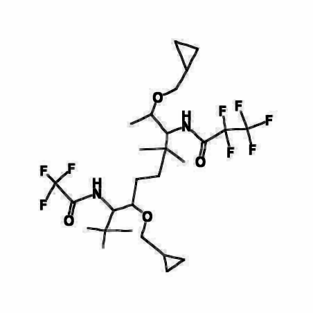 CC(OCC1CC1)C(NC(=O)C(F)(F)C(F)(F)F)C(C)(C)CCC(OCC1CC1)C(NC(=O)C(F)(F)F)C(C)(C)C